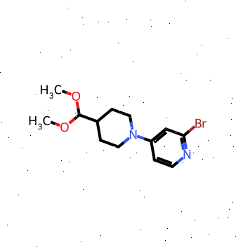 COC(OC)C1CCN(c2ccnc(Br)c2)CC1